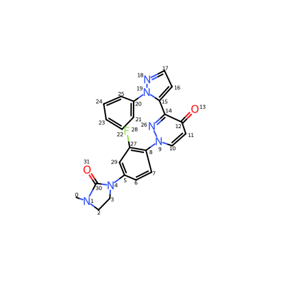 CN1CCN(c2ccc(-n3ccc(=O)c(-c4ccnn4-c4ccccc4)n3)c(F)c2)C1=O